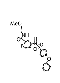 COCCNC(=O)c1cc(NS(=O)(=O)c2ccc(Oc3ccccc3)cc2)ccn1